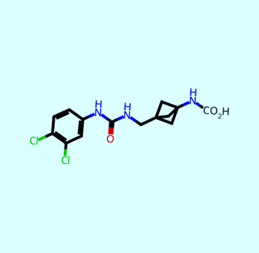 O=C(O)NC12CC(CNC(=O)Nc3ccc(Cl)c(Cl)c3)(C1)C2